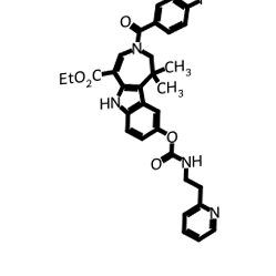 CCOC(=O)C1=CN(C(=O)c2ccc(F)cc2)CC(C)(C)c2c1[nH]c1ccc(OC(=O)NCCc3ccccn3)cc21